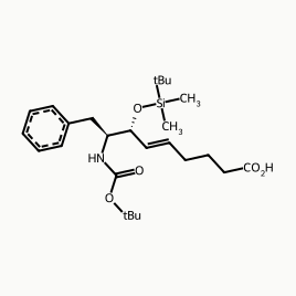 CC(C)(C)OC(=O)N[C@@H](Cc1ccccc1)[C@@H](C=CCCCC(=O)O)O[Si](C)(C)C(C)(C)C